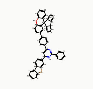 c1ccc(-c2nc(-c3ccc(-c4ccc5c(c4)C4(c6ccccc6O5)c5ccccc5-c5ccccc54)cc3)cc(-c3ccc4c(c3)sc3ccccc34)n2)cc1